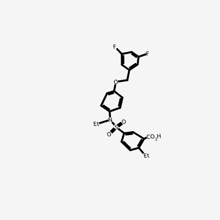 CCc1ccc(S(=O)(=O)N(CC)c2ccc(OCc3cc(F)cc(F)c3)cc2)cc1C(=O)O